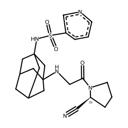 N#C[C@@H]1CCCN1C(=O)CNC12CC3CC(C1)CC(NS(=O)(=O)c1cccnc1)(C3)C2